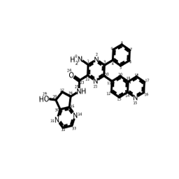 Nc1nc(-c2ccccc2)c(-c2ccc3ncccc3c2)nc1C(=O)NC1CC(O)c2nccnc21